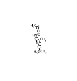 Cc1cc(OCC(=O)Nc2ccc3nc(N4CCC(N(C)C)CC4)nc(C)c3c2)cs1